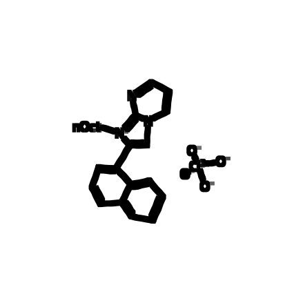 CCCCCCCC[n+]1c(-c2cccc3ccccc23)cn2cccnc21.[O-][Cl+3]([O-])([O-])[O-]